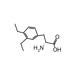 CCc1ccc(C[C@@H](N)C(=O)O)cc1CC